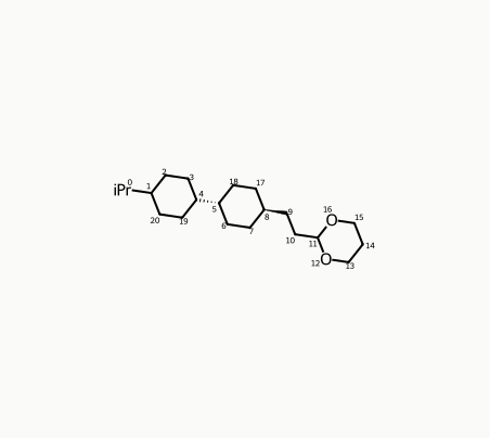 CC(C)C1CCC([C@H]2CC[C@H](CCC3OCCCO3)CC2)CC1